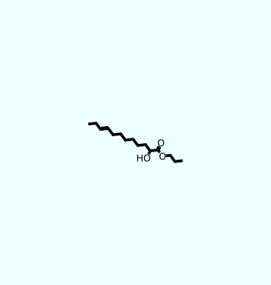 CCC=CCCCCCCC(O)C(=O)OCCC